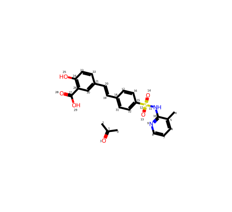 CC(C)=O.Cc1cccnc1NS(=O)(=O)c1ccc(/C=C/c2ccc(O)c(C(=O)O)c2)cc1